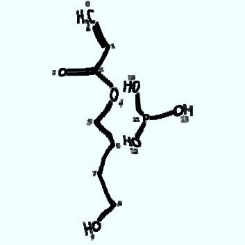 C=CC(=O)OCCCCO.OP(O)O